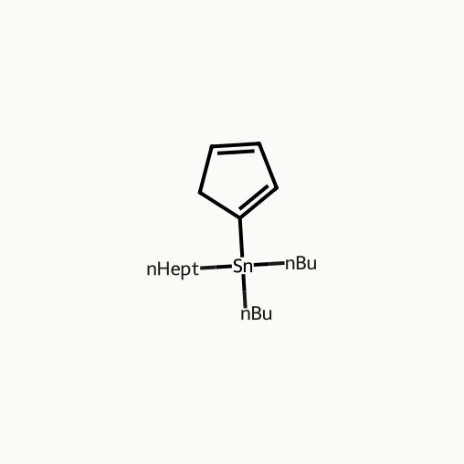 CCCCCC[CH2][Sn]([CH2]CCC)([CH2]CCC)[C]1=CC=CC1